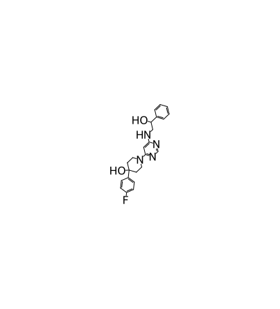 OC(CNc1cc(N2CCC(O)(c3ccc(F)cc3)CC2)ncn1)c1ccccc1